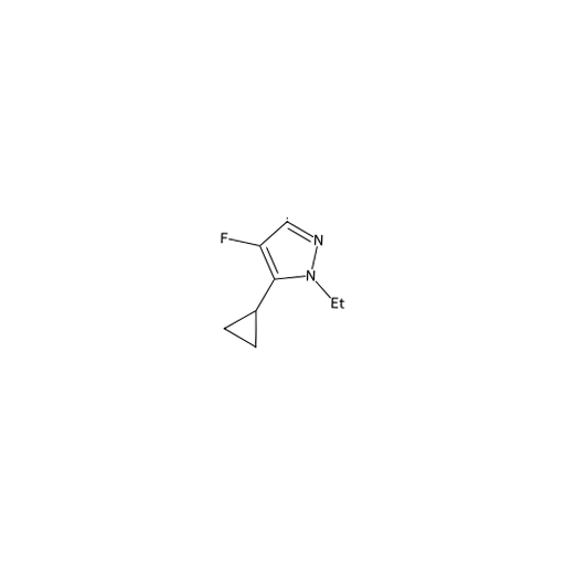 CCn1n[c]c(F)c1C1CC1